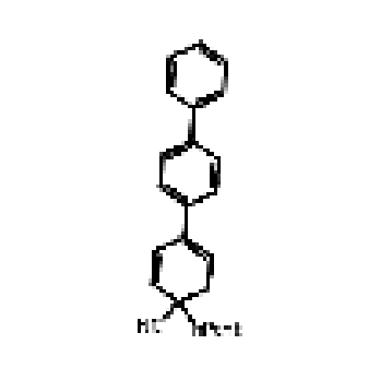 CCCCCC1(C#N)C=CC(c2ccc(-c3ccccc3)cc2)=CC1